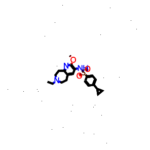 CCN1CCc2cc(NS(=O)(=O)c3ccc(C4CC4)cc3)c(OC)nc2CC1